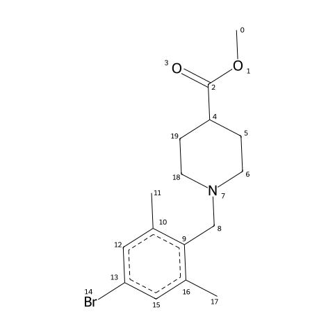 COC(=O)C1CCN(Cc2c(C)cc(Br)cc2C)CC1